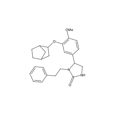 COc1ccc(C2CNC(=O)N2CCc2ccccc2)cc1OC1CC2CCC1C2